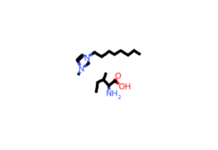 CCC(C)C(N)C(=O)O.CCCCCCCCN1C=CN(C)C1